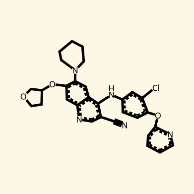 N#Cc1cnc2cc(OC3CCOC3)c(N3CCCCC3)cc2c1Nc1ccc(Oc2ccccn2)c(Cl)c1